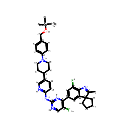 CC1=Nc2c(F)cc(-c3nc(Nc4ccc(C5CCN(c6ccc(CO[Si](C)(C)C(C)(C)C)cc6)CC5)cn4)ncc3F)cc2C12CCCC2